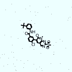 Cn1c(=O)c(-c2cc(C(=O)Nc3cccc(C(C)(C)C)c3)ccc2Cl)cc2cnc(S(C)(=O)=O)nc21